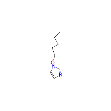 CCCCCOn1ccnc1